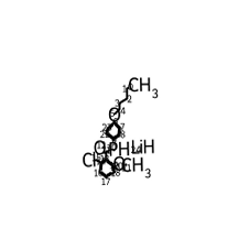 CCCCCOc1ccc(PC(=O)c2c(Cl)cccc2OC)cc1.[LiH]